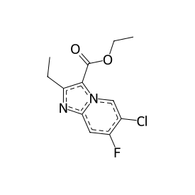 CCOC(=O)c1c(CC)nc2cc(F)c(Cl)cn12